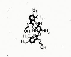 Cc1ccc2c(N=CCO)c(OC3NC(Oc4nn5c(C)c(C)ccc5c4N=CCO)C(N)=CC3=N)nn2c1C